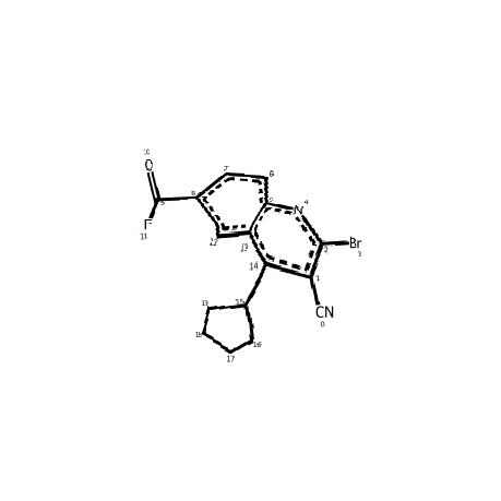 N#Cc1c(Br)nc2ccc(C(=O)F)cc2c1C1CCCC1